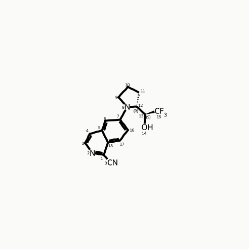 N#Cc1nccc2cc(N3CCC[C@@H]3[C@H](O)C(F)(F)F)ccc12